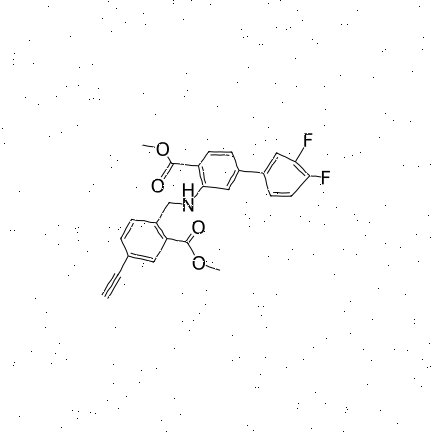 C#Cc1ccc(CNc2cc(-c3ccc(F)c(F)c3)ccc2C(=O)OC)c(C(=O)OC)c1